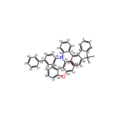 CC1(C)c2ccccc2-c2c(-c3ccccc3N(c3ccc(-c4ccccc4)cc3)c3cccc4oc5ccccc5c34)cccc21